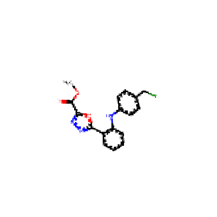 COC(=O)c1nnc(-c2ccccc2Nc2ccc(CF)cc2)o1